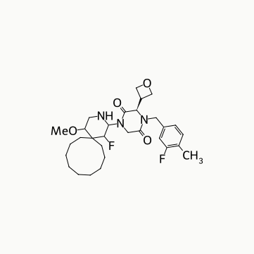 COC1CNC(N2CC(=O)N(Cc3ccc(C)c(F)c3)[C@H](C3COC3)C2=O)C(F)C12CCCCCCCCC2